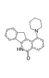 O=c1[nH]c2c(c3c(N4CCCCC4)cccc13)Cc1ccccc1-2